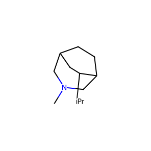 CC(C)C1CC2CCC1CN(C)C2